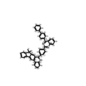 CC1(C)c2ccccc2-c2cc3c(cc21)c(-c1ccc(-c2nc(-c4ccc(-c5ccccc5)cc4)c4ccccc4n2)cc1)nc1ccccc13